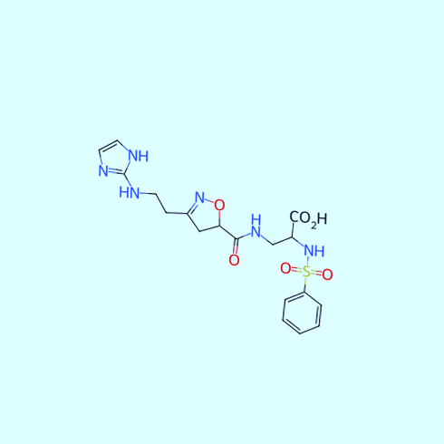 O=C(O)C(CNC(=O)C1CC(CCNc2ncc[nH]2)=NO1)NS(=O)(=O)c1ccccc1